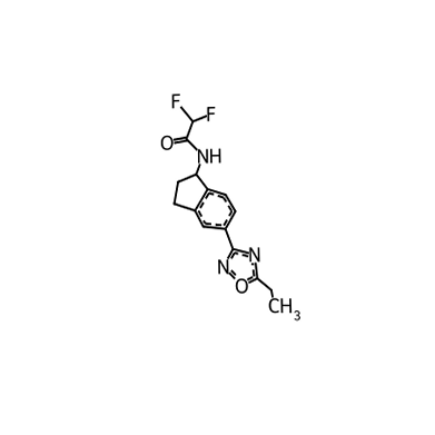 CCc1nc(-c2ccc3c(c2)CCC3NC(=O)C(F)F)no1